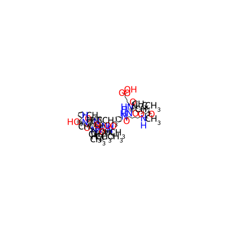 CC[C@@H](C)[C@H](N(CC)CC(=O)N1CCC[C@@H]1[C@@H](OC)[C@H](C)C(=O)N[C@@H](C)[C@H](O)c1ccccc1)N(C)C(=O)[C@H](NC(=O)[C@@H](C(C)C)N(C)C(=O)OCc1ccc(NC(=O)C(CCCCNC(C)=C2C(=O)CC(C)(C)CC2=O)NC(=O)[C@H](NC(=O)CCCC(=O)OO)C(C)C)cc1)C(C)C